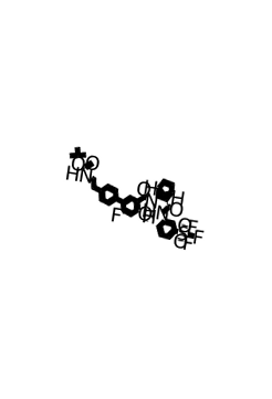 COc1cc(F)c(-c2ccc(CCNC(=O)OC(C)(C)C)cc2)cc1C(=O)N[C@H]1[C@@H](C(=O)Nc2cccc(S(=O)(=O)C(F)(F)F)c2)[C@@H]2C=C[C@H]1C2